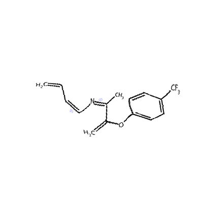 C=C/C=C\N=C(\C)C(=C)Oc1ccc(C(F)(F)F)cc1